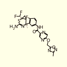 Cc1noc(COc2cnc(C(=O)Nc3ccc(F)c([C@@]4(C)N=C(N)S[C@@]5(C(F)F)CC54)c3)cn2)n1